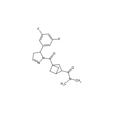 CN(C)C(=O)C1CC2(C(=O)N3N=CCC3c3cc(F)cc(F)c3)CC1C2